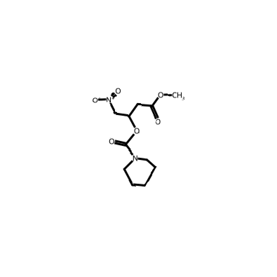 COC(=O)CC(C[N+](=O)[O-])OC(=O)N1CCCCC1